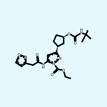 CCOC(=O)n1nc([C@H]2CC[C@@H](OC(=O)NC(C)(C)C)C2)cc1NC(=O)Cc1ccon1